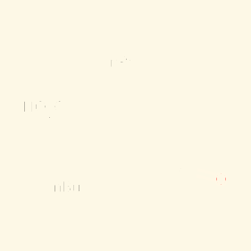 CCCCC1CC(=O)CC1C(CCC)C(=O)O